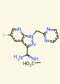 CC(=O)O.N=C(N)c1nn(Cc2ncccn2)c2ncc(F)cc12